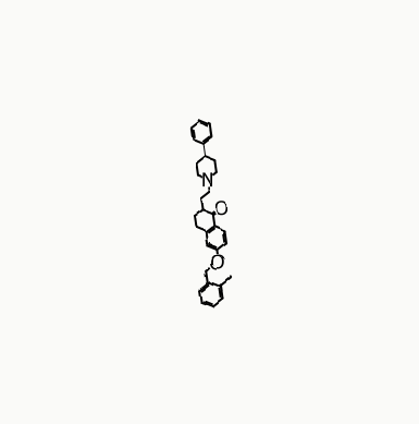 Cc1ccccc1COc1ccc2c(c1)CCC(CCN1CCC(c3ccccc3)CC1)C2=O